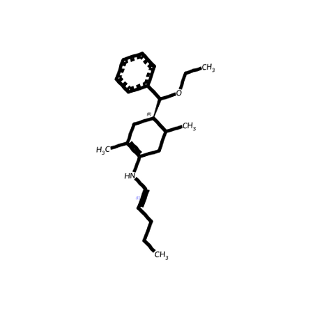 CCC/C=C/NC1=C(C)C[C@@H](C(OCC)c2ccccc2)C(C)C1